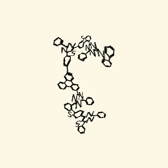 c1ccc(-c2nc(-c3ccc4c5ccc(-c6ccc7c(c6)sc6c(-c8ccc9c(c8)sc8cccc(-c%10nc(-c%11ccccc%11)nc(-n%11c%12ccccc%12c%12ccccc%12%11)n%10)c89)nc(-c8ccccc8)nc67)cc5c5ccccc5c4c3)nc(-c3cccc4sc5cc(-c6nc(-c7ccccc7)nc7c6sc6ccccc67)ccc5c34)n2)cc1